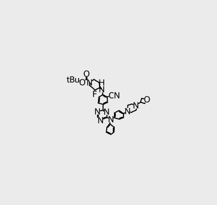 CC(C)(C)OC(=O)N1CCC(Nc2ccc(-c3ncnc(N(c4ccccc4)c4ccc(N5CCN(C6COC6)CC5)cc4)n3)cc2C#N)C(F)C1